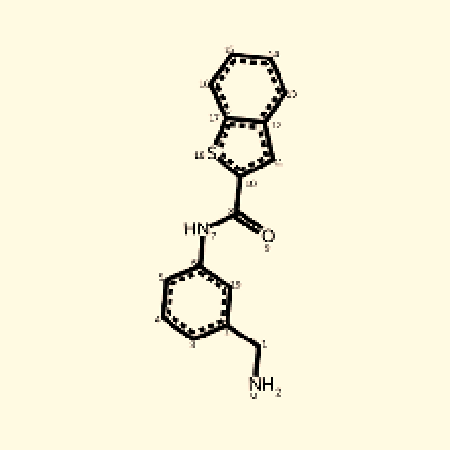 NCc1cccc(NC(=O)c2cc3ccccc3s2)c1